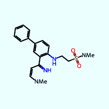 CN/C=C\C(=N)c1cc(-c2ccccc2)ccc1NCCS(=O)(=O)NC